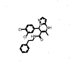 CC1=C(C(=O)NCCc2ccccc2)C(c2ccc(Cl)c(Cl)c2)n2nccc2N1